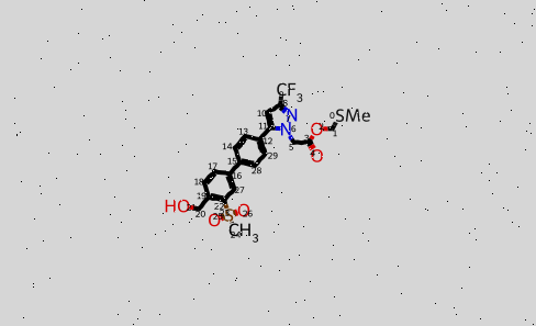 CSCOC(=O)Cn1nc(C(F)(F)F)cc1-c1ccc(-c2ccc(CO)c(S(C)(=O)=O)c2)cc1